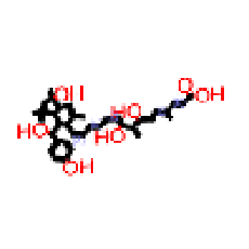 CC1=CC2C(C(C(O)c3ccc(O)cc3)C1\C=C/C=C/C=C\C(O)C(C)C(O)C/C=C(C)/C=C/C(=O)O)C(C)(C)CC2(C)O